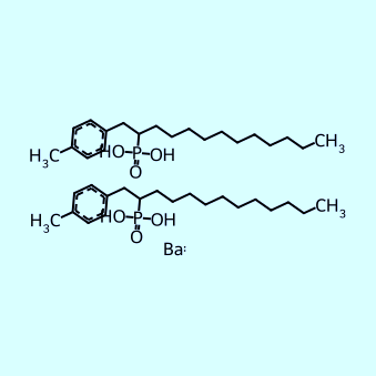 CCCCCCCCCCCC(Cc1ccc(C)cc1)P(=O)(O)O.CCCCCCCCCCCC(Cc1ccc(C)cc1)P(=O)(O)O.[Ba]